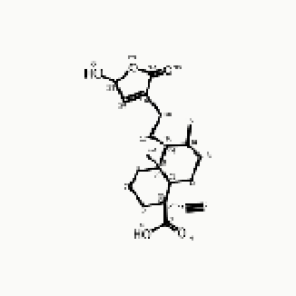 C#C[C@]1(C(=O)O)CCC[C@@]2(C)C1CCC(C)[C@@H]2CCC1=CC(O)OC1=O